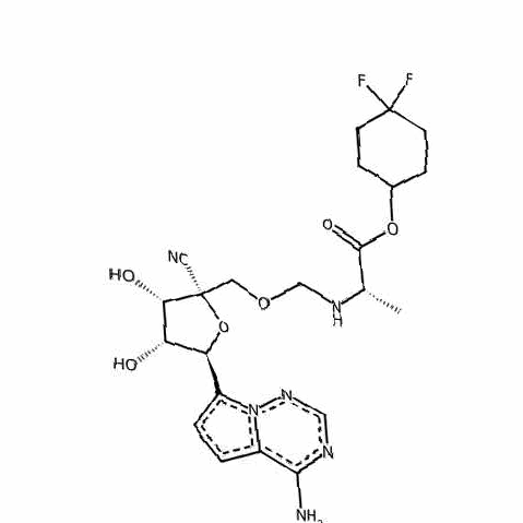 C[C@H](NCOC[C@@]1(C#N)O[C@@H](c2ccc3c(N)ncnn23)[C@H](O)[C@@H]1O)C(=O)OC1CCC(F)(F)CC1